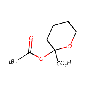 CC(C)(C)C(=O)OC1(C(=O)O)CCCCO1